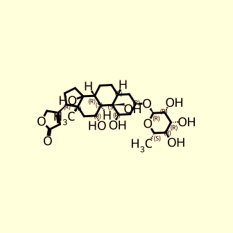 C[C@@H]1O[C@@H](O[C@@H]2C[C@H]3CC[C@@H]4[C@H]([C@H](O)C[C@]5(C)[C@@H](C6=CC(=O)OC6)CCC45O)[C@@]3(CO)[C@H](O)C2)[C@H](O)[C@H](O)[C@H]1O